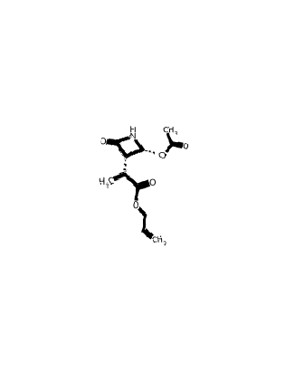 C=CCOC(=O)C(C)[C@@H]1C(=O)N[C@@H]1OC(C)=O